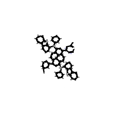 C=C(C)/C=C(\C=C/C)c1cc(N(c2ccccc2)c2cccc3c2oc2ccccc23)c2ccc3c(-c4cccc(C)c4)cc(N(c4ccccc4)c4cccc5c4oc4ccccc45)c4ccc1c2c34